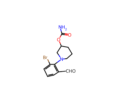 NC(=O)OC1CCCN(c2c(Br)cccc2C=O)C1